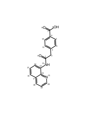 O=C(Cc1ccc(C(=O)O)cc1)Nc1cccc2cccnc12